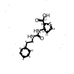 O=C(NCCc1ccccc1)Nc1ccsc1C(=O)O